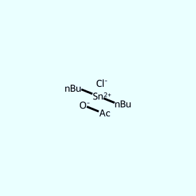 CC(=O)[O-].CCC[CH2][Sn+2][CH2]CCC.[Cl-]